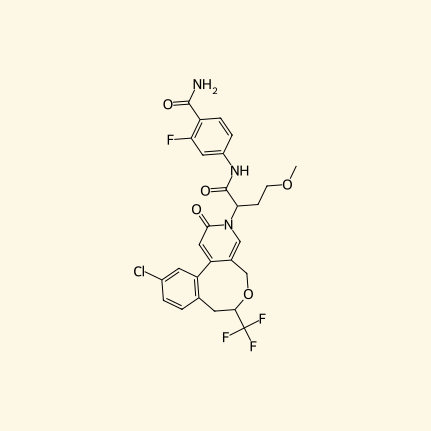 COCCC(C(=O)Nc1ccc(C(N)=O)c(F)c1)n1cc2c(cc1=O)-c1cc(Cl)ccc1CC(C(F)(F)F)OC2